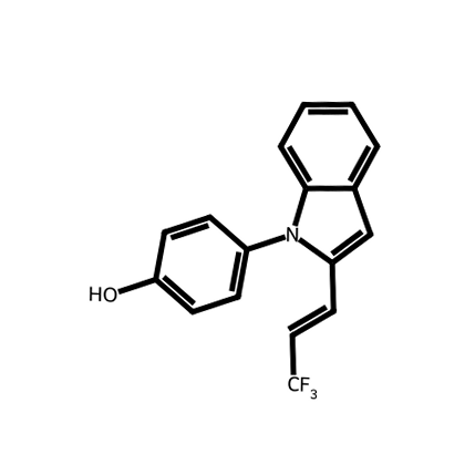 Oc1ccc(-n2c(C=CC(F)(F)F)cc3ccccc32)cc1